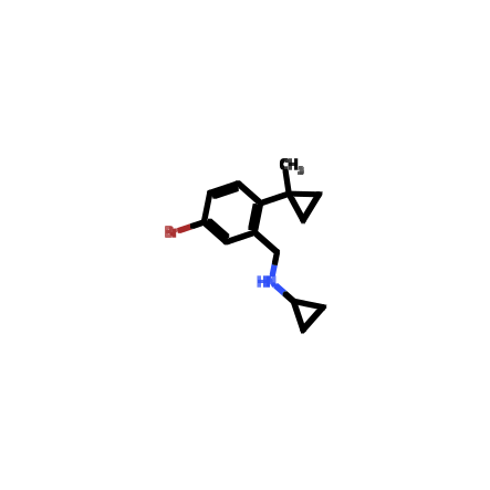 CC1(c2ccc(Br)cc2CNC2CC2)CC1